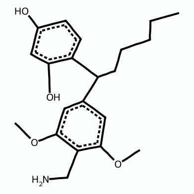 CCCCCC(c1cc(OC)c(CN)c(OC)c1)c1ccc(O)cc1O